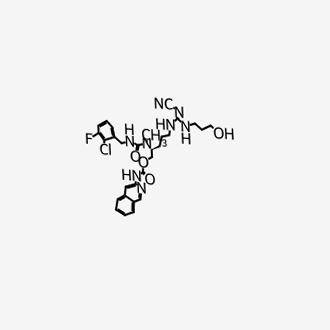 CN(C(=O)NCc1cccc(F)c1Cl)[C@@H](CCCN/C(=N\C#N)NCCCO)COC(=O)Nc1cc2ccccc2cn1